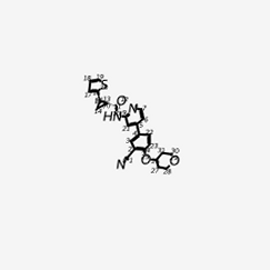 N#Cc1cc(-c2ccnc(NC(=O)[C@@H]3C[C@H]3c3cccs3)c2)ccc1OC1CCOCC1